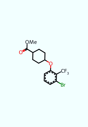 COC(=O)C1CCC(Oc2cccc(Br)c2C(F)(F)F)CC1